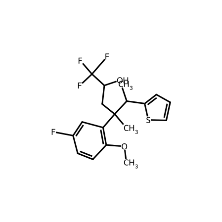 COc1ccc(F)cc1C(C)(CC(O)C(F)(F)F)C(C)c1cccs1